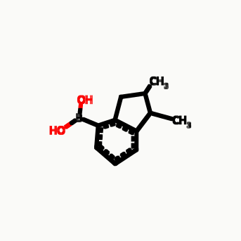 CC1Cc2c(B(O)O)cccc2C1C